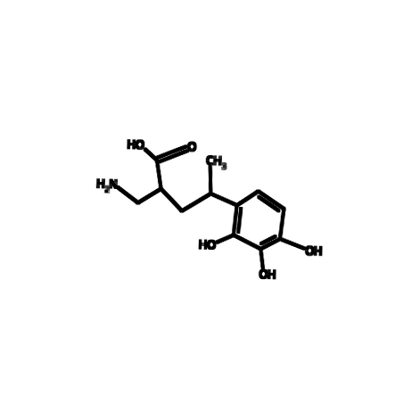 CC(CC(CN)C(=O)O)c1ccc(O)c(O)c1O